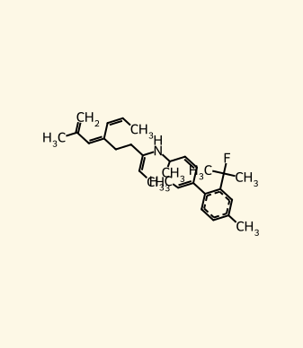 C=C(C)/C=C(\C=C/C)CC/C(=C/C)NC(C)/C=C\C(=C/C)c1ccc(C)cc1C(C)(C)F